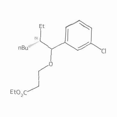 CCCC[C@H](CC)C(OCCC(=O)OCC)c1cccc(Cl)c1